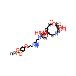 CCCS(=O)(=O)c1ccc(OCCCn2cc(CCN(C)[C@H]3C[C@@H](C)O[C@@H](O[C@@H]4[C@@H](C)C[C@@H](C)C(=O)O[C@H](CC)[C@@](C)(O)[C@H](O)[C@@H](C)N(C)C[C@H](C)C[C@@]4(C)O)[C@@H]3O)nn2)cc1